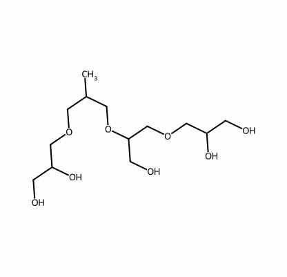 CC(COCC(O)CO)COC(CO)COCC(O)CO